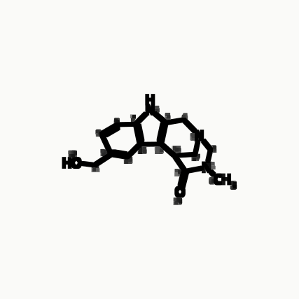 CN1CN2Cc3[nH]c4ccc(CO)cc4c3C(C2)C1=O